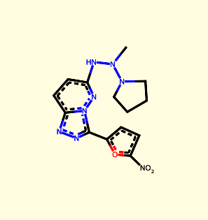 CN(Nc1ccc2nnc(-c3ccc([N+](=O)[O-])o3)n2n1)N1CCCC1